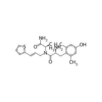 Cc1cc(O)cc(C)c1C[C@H](N)C(=O)N(C/C=C/c1cccs1)[C@H](C)C(N)=O